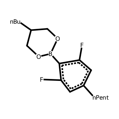 CCCCCc1cc(F)c(B2OCC(CCCC)CO2)c(F)c1